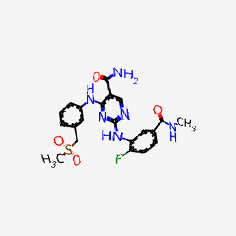 CNC(=O)c1ccc(F)c(Nc2ncc(C(N)=O)c(Nc3cccc(CS(C)(=O)=O)c3)n2)c1